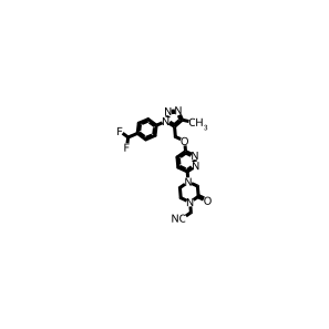 Cc1nnn(-c2ccc(C(F)F)cc2)c1COc1ccc(N2CCN(CC#N)C(=O)C2)nn1